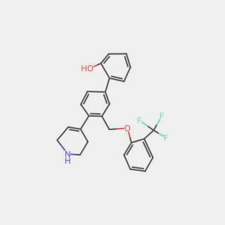 Oc1ccccc1-c1ccc(C2=CCNCC2)c(COc2ccccc2C(F)(F)F)c1